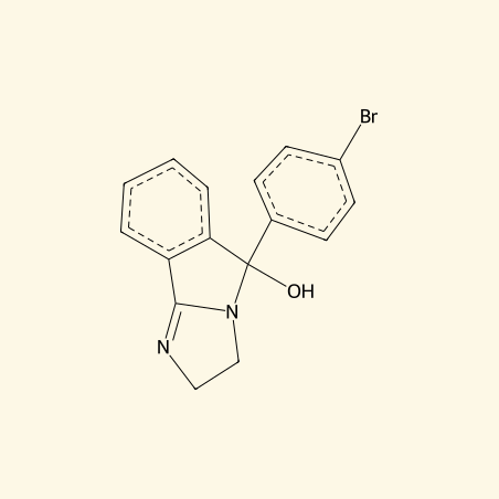 OC1(c2ccc(Br)cc2)c2ccccc2C2=NCCN21